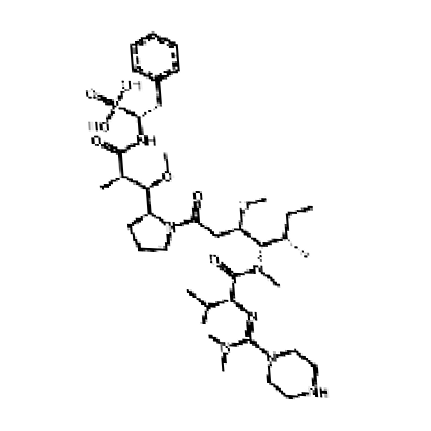 CC[C@H](C)[C@@H]([C@@H](CC(=O)N1CCC[C@H]1[C@H](OC)[C@@H](C)C(=O)N[C@@H](Cc1ccccc1)P(=O)(O)O)OC)N(C)C(=O)[C@@H](/N=C(\N(C)C)N1CCNCC1)C(C)C